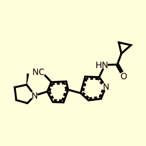 C[C@@H]1CCCN1c1ccc(-c2ccnc(NC(=O)C3CC3)c2)cc1C#N